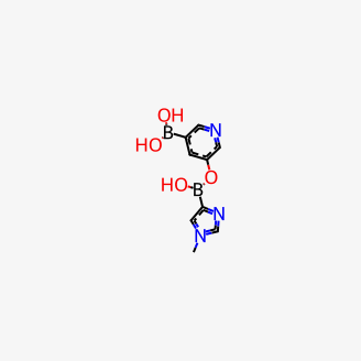 Cn1cnc(B(O)Oc2cncc(B(O)O)c2)c1